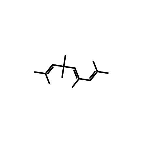 CC(C)=CC(C)=CC(C)(C)C=C(C)C